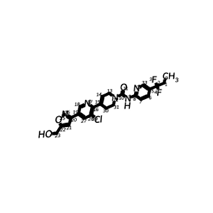 CCC(F)(F)c1ccc(NC(=O)N2CC=C(c3ncc(-c4cc(CO)on4)cc3Cl)CC2)nc1